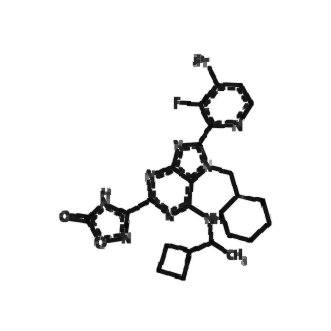 CC(C)c1ccnc(-c2nc3nc(-c4noc(=O)[nH]4)nc(NC(C)C4CCC4)c3n2CC2CCCCC2)c1F